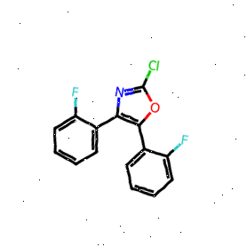 Fc1ccccc1-c1nc(Cl)oc1-c1ccccc1F